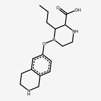 CCCC1C(C(=O)O)NCCN1Oc1ccc2c(c1)CCNC2